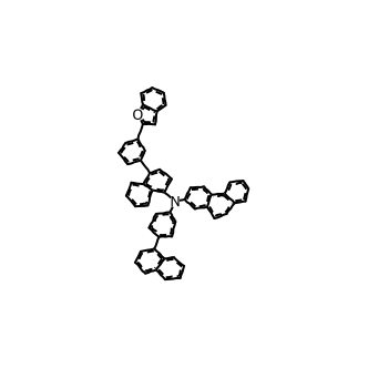 c1cc(-c2cc3ccccc3o2)cc(-c2ccc(N(c3ccc(-c4cccc5ccccc45)cc3)c3ccc4c(ccc5ccccc54)c3)c3ccccc23)c1